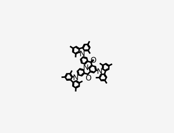 Cc1cc(C)c2c(c1)c1cc(C)cc(C)c1n2-c1ccc2c(c1)c(=O)c1cc(-n3c4c(C)cc(C)cc4c4cc(C)cc(C)c43)cc3c(=O)c4cc(-n5c6c(C)cc(C)cc6c6cc(C)cc(C)c65)ccc4n2c13